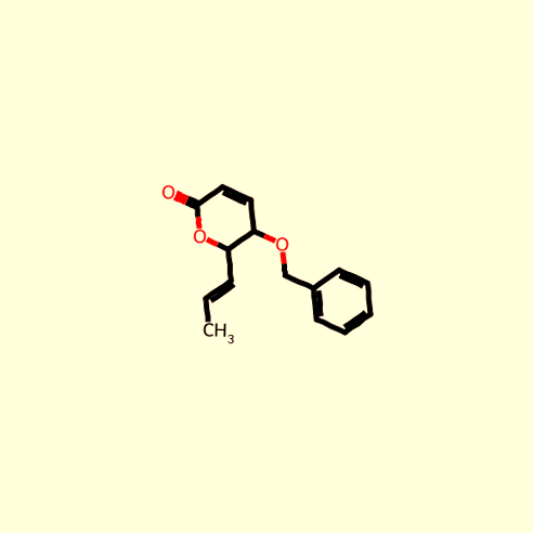 CC=CC1OC(=O)C=CC1OCc1ccccc1